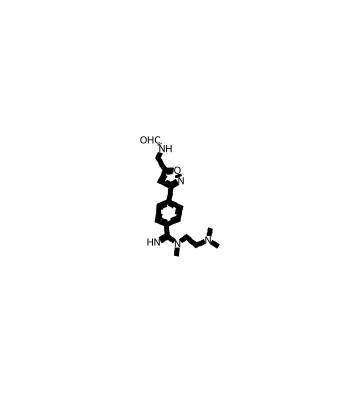 CN(C)CCN(C)C(=N)c1ccc(-c2cc(CNC=O)on2)cc1